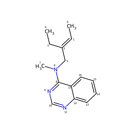 C/C=C(\CC)CN(C)c1ncnc2ccccc12